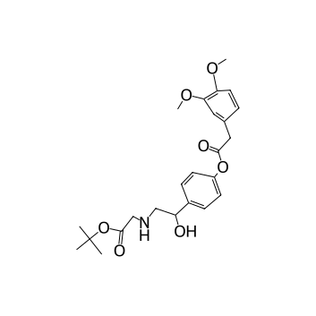 COc1ccc(CC(=O)Oc2ccc(C(O)CNCC(=O)OC(C)(C)C)cc2)cc1OC